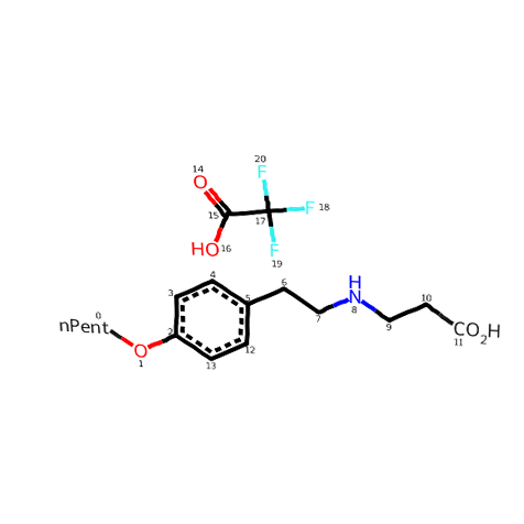 CCCCCOc1ccc(CCNCCC(=O)O)cc1.O=C(O)C(F)(F)F